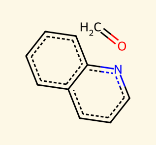 C=O.c1ccc2ncccc2c1